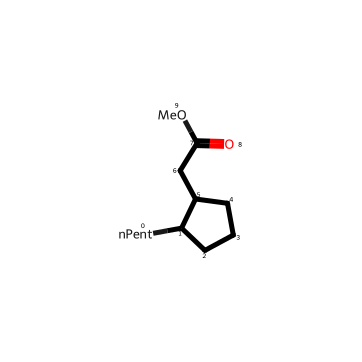 CCCCCC1[CH]CCC1CC(=O)OC